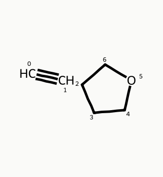 C#C.C1CCOC1